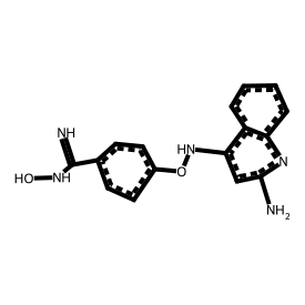 N=C(NO)c1ccc(ONc2cc(N)nc3ccccc23)cc1